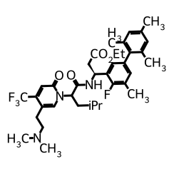 CCOC(=O)C[C@H](NC(=O)C(CC(C)C)n1cc(CCN(C)C)c(C(F)(F)F)cc1=O)c1cc(-c2c(C)cc(C)cc2C)cc(C)c1F